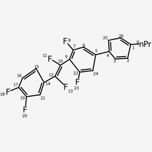 CCCc1ccc(-c2cc(F)c(/C(F)=C(\F)c3ccc(F)c(F)c3)c(F)c2)cc1